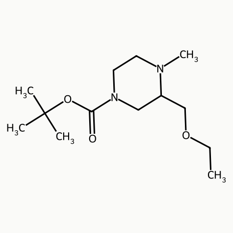 CCOCC1CN(C(=O)OC(C)(C)C)CCN1C